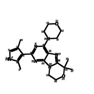 Cc1c[nH]c(C)c1-c1nc(N2CCOCC2)c2nc3n(c2n1)CCOC3(C)C